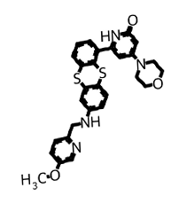 COc1ccc(CNc2ccc3c(c2)Sc2cccc(-c4cc(N5CCOCC5)cc(=O)[nH]4)c2S3)nc1